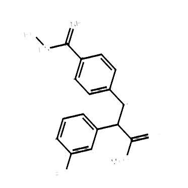 COC(=O)C(Cc1ccc(C(=N)NO)cc1)c1cccc(C(F)(F)F)c1